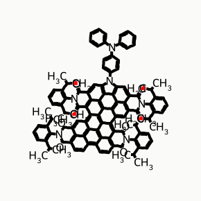 CC(C)c1cccc(C(C)C)c1-n1c(=O)c2ccc3c4ccc5c(=O)n(-c6c(C(C)C)cccc6C(C)C)c(=O)c6c5c4c4c5c(cc(c1=O)c2c35)c1c2c(=O)n(-c3c(C(C)C)cccc3C(C)C)c(=O)c3cc5c7c(c32)c2c3c(cc8c(=O)n(-c9c(C(C)C)cccc9C(C)C)c(=O)c9cc(c7c3c89)n5-c3ccc(N(c5ccccc5)c5ccccc5)cc3)c6c4c12